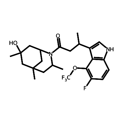 CC(CC(=O)N1C(C)CC2(C)CC1CC(C)(O)C2)c1c[nH]c2ccc(F)c(OC(F)(F)F)c12